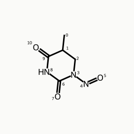 CC1CN(N=O)C(=O)NC1=O